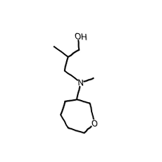 CC(CO)CN(C)C1CCCCOC1